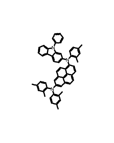 Cc1ccc(N(c2cc3ccc4ccc(N(c5ccc6c7ccccc7n(-c7ccccc7)c6c5)c5ccc(C)cc5C)c5ccc(c2)c3c45)c2ccc(C)cc2C)c(C)c1